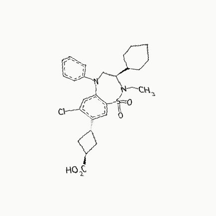 CN1[C@H](C2CCCCC2)CN(c2ccccc2)c2cc(Cl)c([C@H]3C[C@H](C(=O)O)C3)cc2S1(=O)=O